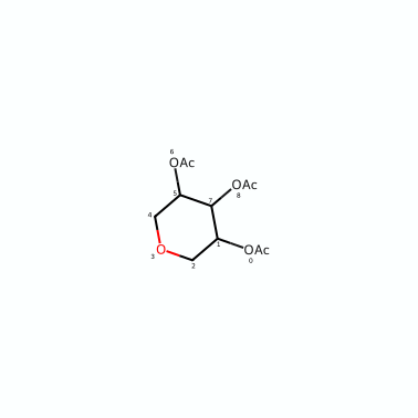 CC(=O)OC1COCC(OC(C)=O)C1OC(C)=O